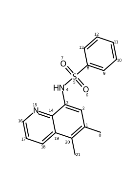 Cc1cc(NS(=O)(=O)c2ccccc2)c2ncccc2c1C